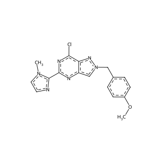 COc1ccc(Cn2cc3nc(-c4nccn4C)nc(Cl)c3n2)cc1